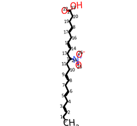 CCC=CCC=CCC=CCCC(CC=CCC=CCCC(=O)O)[N+](=O)[O-]